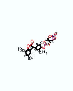 Cc1cc(C2C(=O)Oc3c2cc(C(C)(C)C)cc3C(C)(C)C)cc(C)c1OP1OCC2(CO1)CO[PH](=O)OC2